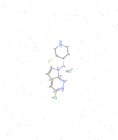 Cl.F[C@@H]1CNCC[C@@H]1Cn1ccc2cc(Cl)nnc21